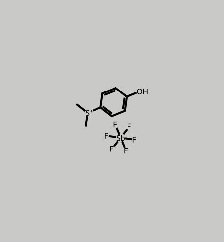 C[S+](C)c1ccc(O)cc1.[F][Sb-]([F])([F])([F])([F])[F]